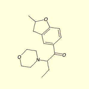 CCC(C(=O)c1ccc2c(c1)CC(C)O2)N1CCOCC1